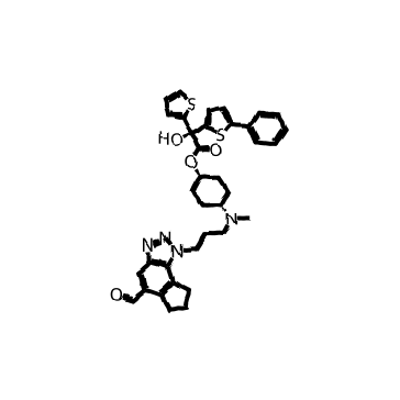 CN(CCCn1nnc2cc(C=O)c3c(c21)CCC3)[C@H]1CC[C@H](OC(=O)[C@](O)(c2cccs2)c2ccc(-c3ccccc3)s2)CC1